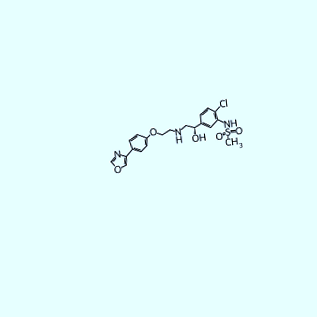 CS(=O)(=O)Nc1cc([C@@H](O)CNCCOc2ccc(-c3cocn3)cc2)ccc1Cl